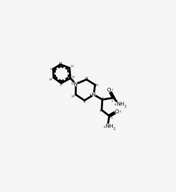 NC(=O)CC(C(N)=O)N1CCN(c2ccccc2)CC1